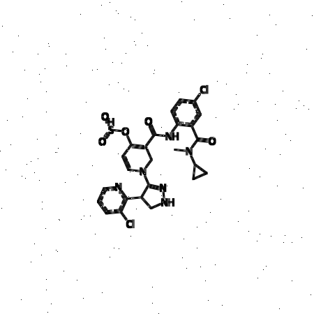 CN(C(=O)c1cc(Cl)ccc1NC(=O)C1=C(O[SH](=O)=O)C=CN(C2=NNCC2c2ncccc2Cl)C1)C1CC1